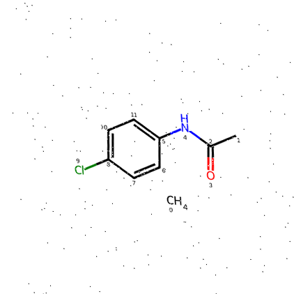 C.CC(=O)Nc1ccc(Cl)cc1